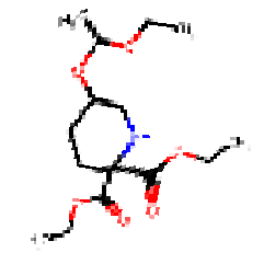 CCOC(=O)C1(C(=O)OCC)CCC(OC(C)OCC)CN1